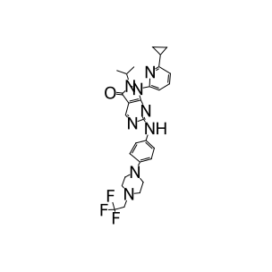 CC(C)n1c(=O)c2cnc(Nc3ccc(N4CCN(CC(F)(F)F)CC4)cc3)nc2n1-c1cccc(C2CC2)n1